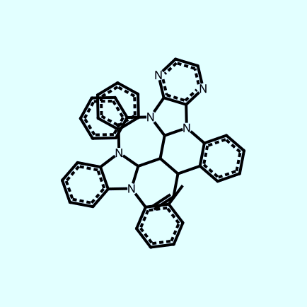 C=CC1c2ccccc2N2c3nccnc3N(c3ccccc3)C2C1C1N(c2ccccc2)c2ccccc2N1c1ccccc1C